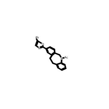 CC(=O)N1Cc2ccc(-c3ncc(C(C)C)o3)cc2CCc2ccccc21